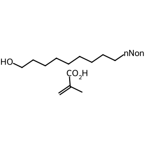 C=C(C)C(=O)O.CCCCCCCCCCCCCCCCCCO